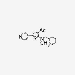 CC(=O)c1cc(-c2ccncc2)sc1N(C)Cc1ccccc1